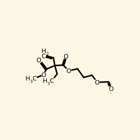 C=CC(CC)(C(=O)OC)C(=O)OCCCOC=O